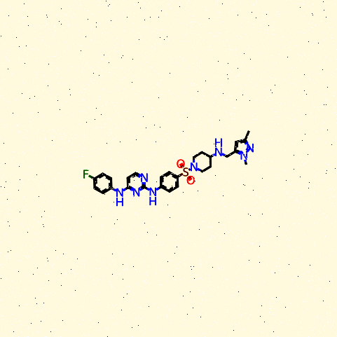 Cc1cc(CNC2CCN(S(=O)(=O)c3ccc(Nc4nccc(Nc5ccc(F)cc5)n4)cc3)CC2)n(C)n1